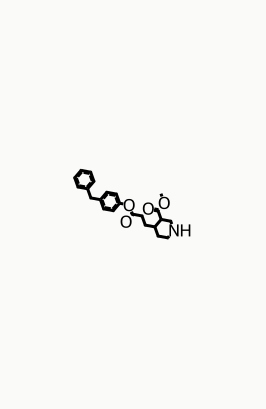 COC(=O)C1CNCCC1CCC(=O)Oc1ccc(Cc2ccccc2)cc1